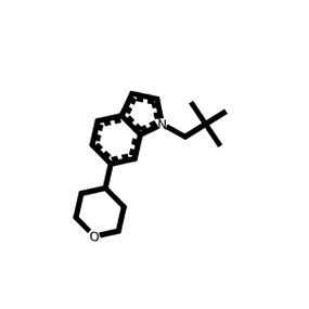 CC(C)(C)Cn1ccc2ccc(C3CCOCC3)cc21